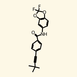 CC(C)(C)C#Cc1ccc(C(=O)Nc2ccc3c(c2)OC(F)(F)O3)cc1